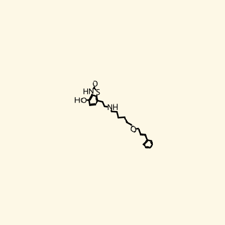 O=c1[nH]c2c(O)ccc(CCNCCCCCCOCCCc3ccccc3)c2s1